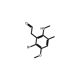 CNc1c(C)cc(OC)c(Br)c1CC=O